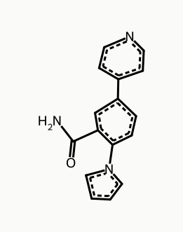 NC(=O)c1cc(-c2ccncc2)ccc1-n1cccc1